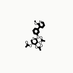 COc1ncccc1-c1cccc(O[C@@H]2SC[C@@H](OC(C)=O)[C@H](OC(C)=O)[C@H]2OC(C)=O)c1